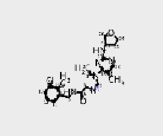 C=CN(/C=N\CC(=O)NCc1cccc(Cl)c1C)c1nc(N[C@H]2CCOC2)ncc1C